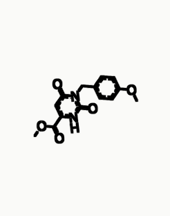 COC(=O)c1cc(=O)n(Cc2ccc(OC)cc2)c(=O)[nH]1